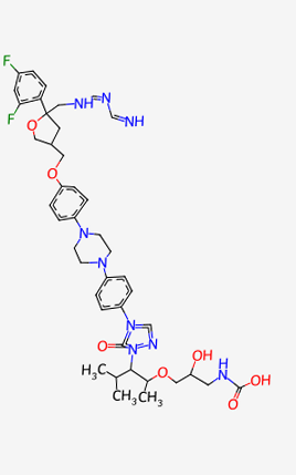 CC(C)C(C(C)OCC(O)CNC(=O)O)n1ncn(-c2ccc(N3CCN(c4ccc(OCC5COC(CN/C=N\C=N)(c6ccc(F)cc6F)C5)cc4)CC3)cc2)c1=O